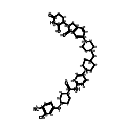 N#Cc1ccc(O[C@H]2CC[C@H](C(=O)Nc3ncc(N4CCC(CN5CCN(c6ccc7c(c6)C(=O)N(C6CCC(=O)NC6=O)C7)CC5)CC4)cn3)CC2)cc1Cl